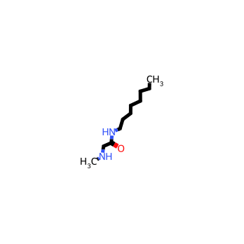 CCCCCCCCNC(=O)CNC